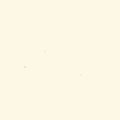 Cc1ccc(N(c2ccc([Si](C)(C)C)cc2)c2ccc3c(c2)C2(c4ccccc4-c4ccccc42)c2cc(-n4c5ccccc5c5ccccc54)c4ccccc4c2-3)cc1